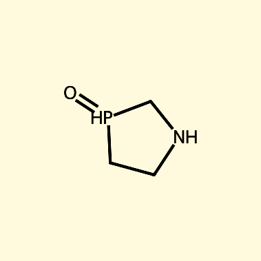 O=[PH]1CCNC1